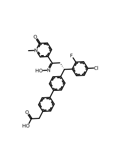 Cn1cc(C(C[C@@H](c2ccc(-c3ccc(CC(=O)O)cc3)cc2)c2ccc(Cl)cc2F)=NO)ccc1=O